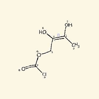 C/C(O)=C(/O)COC(=O)Cl